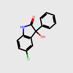 O=C1Nc2ccc(Cl)cc2C1(O)c1ccccc1